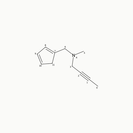 CC#CCN(C)CC1=CC=CC1